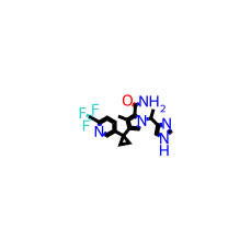 Cc1c(C2(c3ccc(C(F)(F)F)nc3)CC2)cn(C(C)c2c[nH]cn2)c1C(N)=O